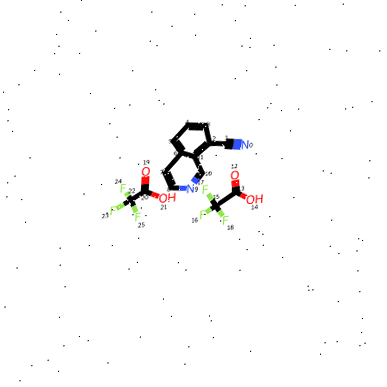 N#Cc1cccc2ccncc12.O=C(O)C(F)(F)F.O=C(O)C(F)(F)F